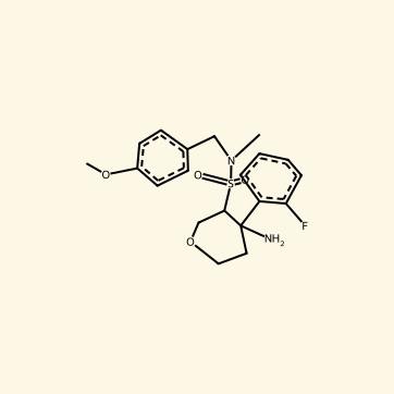 COc1ccc(CN(C)S(=O)(=O)C2COCCC2(N)c2ccccc2F)cc1